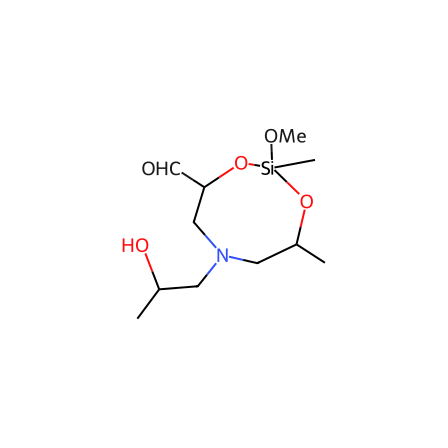 CO[Si]1(C)OC(C)CN(CC(C)O)CC(C=O)O1